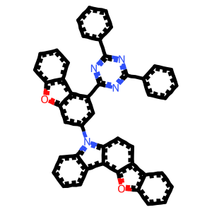 c1ccc(-c2nc(-c3ccccc3)nc(-c3cc(-n4c5ccccc5c5c6oc7ccccc7c6ccc54)cc4oc5ccccc5c34)n2)cc1